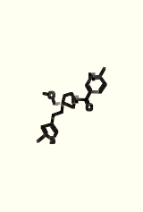 COC[C@]1(CCc2csc(C)c2)CCN(C(=O)c2ccc(C)nc2)C1